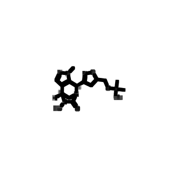 Cn1ncc2c1[C@@H](C1=NOC(CO[Si](C)(C)C(C)(C)C)C1)N1C[C@@H]2N(O)C1=O